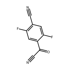 N#CC(=O)c1cc(F)c(C#N)cc1F